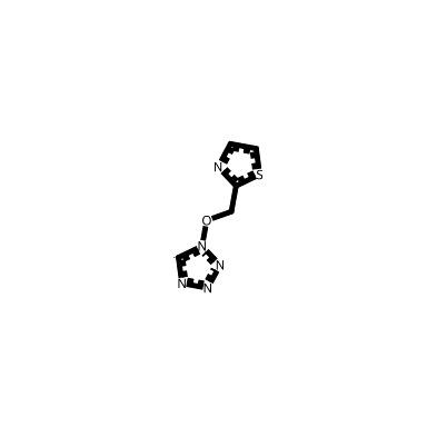 [c]1nnnn1OCc1nccs1